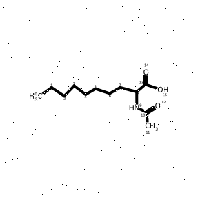 CCCCCCCCC(NC(C)=O)C(=O)O